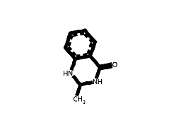 CC1NC(=O)c2ccccc2N1